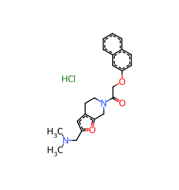 CN(C)Cc1cc2c(o1)CN(C(=O)COc1ccc3ccccc3c1)CC2.Cl